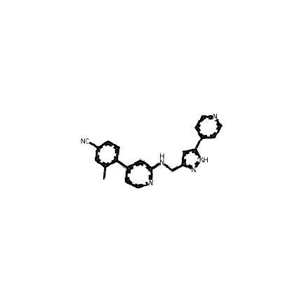 Cc1cc(C#N)ccc1-c1ccnc(NCc2cc(-c3ccncc3)[nH]n2)c1